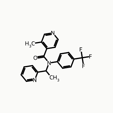 Cc1cnccc1C(=O)N(c1ccc(C(F)(F)F)cc1)C(C)c1ccccn1